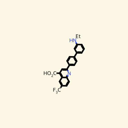 CCNc1cccc(-c2ccc(-c3cc(C(=O)O)c4cc(C(F)(F)F)ccc4n3)cc2)c1